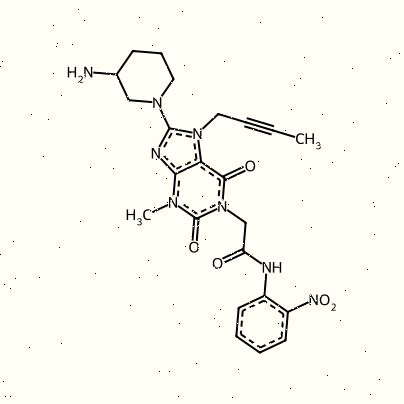 CC#CCn1c(N2CCCC(N)C2)nc2c1c(=O)n(CC(=O)Nc1ccccc1[N+](=O)[O-])c(=O)n2C